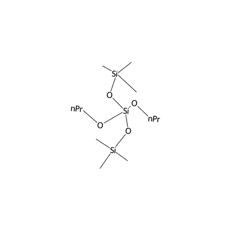 CCCO[Si](OCCC)(O[Si](C)(C)C)O[Si](C)(C)C